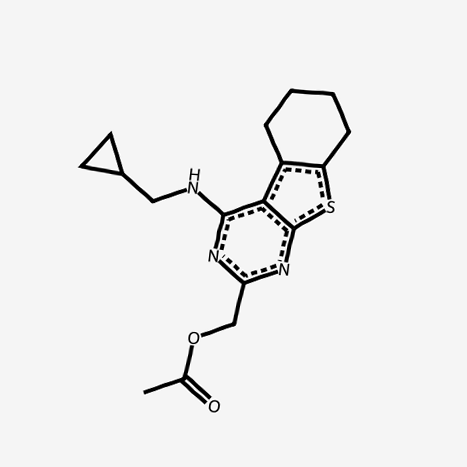 CC(=O)OCc1nc(NCC2CC2)c2c3c(sc2n1)CCCC3